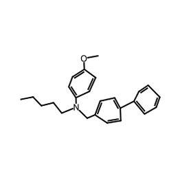 CCCCCN(Cc1ccc(-c2ccccc2)cc1)c1ccc(OC)cc1